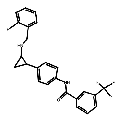 O=C(Nc1ccc(C2CC2NCc2ccccc2F)cc1)c1cccc(C(F)(F)F)c1